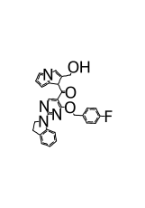 O=C(c1cnc(N2CCc3ccccc32)nc1OCc1ccc(F)cc1)C1C(CO)=Cn2cccc21